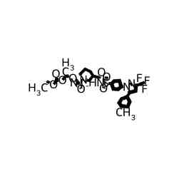 CCOC(=O)OC(C)O/N=[N+](/[O-])N1CCCC(C(=O)NS(=O)(=O)c2ccc(-n3nc(C(F)(F)F)cc3-c3ccc(C)cc3)cc2)C1